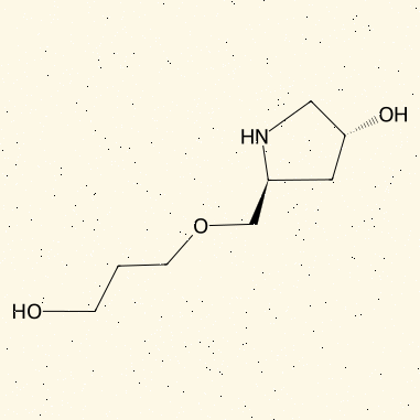 OCCCOC[C@@H]1C[C@@H](O)CN1